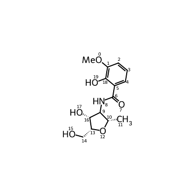 COc1cccc(C(=O)NC2[C@H](C)O[C@H](CO)[C@@H]2O)c1O